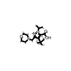 CC(C)n1nc(CN2CCOCC2)c(C(C)(C)C)c1C(=O)O